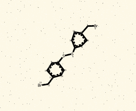 BrCc1ccc(SSc2ccc(CBr)cc2)cc1